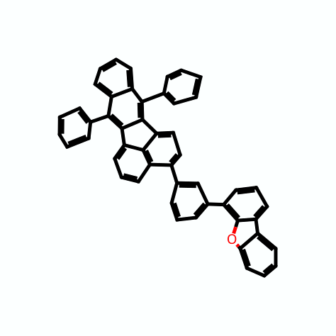 c1ccc(-c2c3c(c(-c4ccccc4)c4ccccc24)-c2ccc(-c4cccc(-c5cccc6c5oc5ccccc56)c4)c4cccc-3c24)cc1